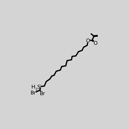 C=C(C)C(=O)OCCCCCCCCCCCCCCCCC[SiH2]C(Br)Br